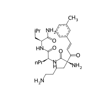 CCC[C@H](NC(=O)[C@@](N)(CCCCN)C(=O)C=Cc1cccc(C)c1)C(=O)N[C@@H](CC(C)C)C(N)=O